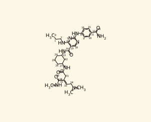 CCCNc1nc(Nc2ccc(C(N)=O)cc2)ncc1C(=O)NC1CCCC(NC(=O)C/C(=C\CN(C)C)C(=O)NC)C1